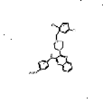 COc1ccc(Nc2nc3ccccc3nc2N2CCN(Cc3cc(Cl)ccc3Cl)CC2)cc1